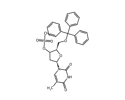 Cc1cn([C@H]2CC(OS(C)(=O)=O)[C@@H](COC(c3ccccc3)(c3ccccc3)c3ccccc3)O2)c(=O)[nH]c1=O